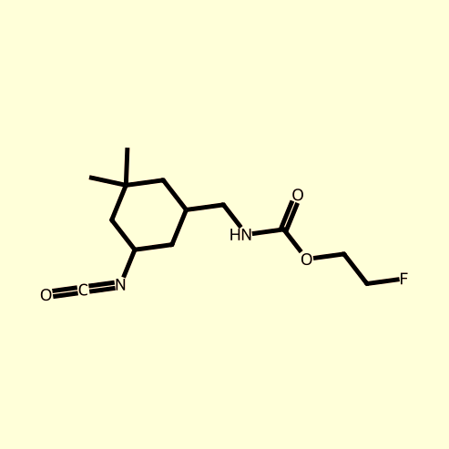 CC1(C)CC(CNC(=O)OCCF)CC(N=C=O)C1